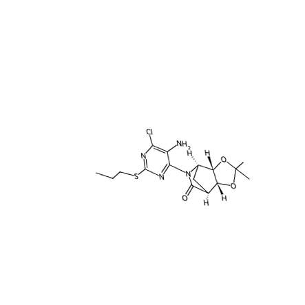 CCCSc1nc(Cl)c(N)c(N2C(=O)[C@H]3C[C@@H]2[C@@H]2OC(C)(C)O[C@@H]23)n1